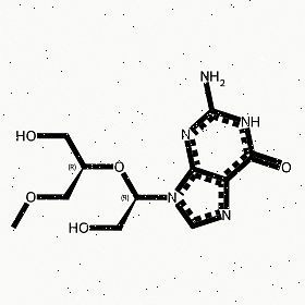 COC[C@@H](CO)O[C@H](CO)n1cnc2c(=O)[nH]c(N)nc21